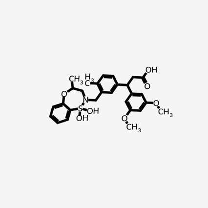 COc1cc(OC)cc(C(CC(=O)O)c2ccc(C)c(CN3CC(C)Oc4ccccc4S3(O)O)c2)c1